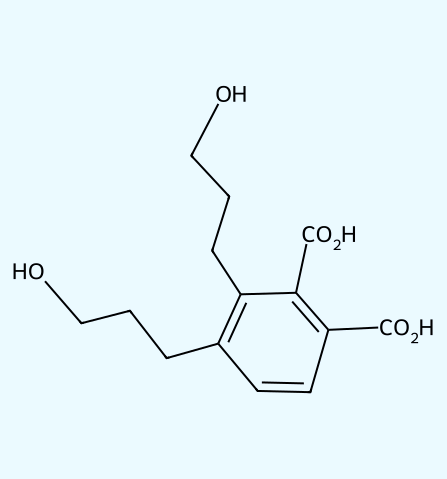 O=C(O)c1ccc(CCCO)c(CCCO)c1C(=O)O